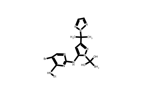 BC(O)(O)n1nc(C(C)(C)n2nccn2)cc1Nc1ncc(Br)c(NCC)n1